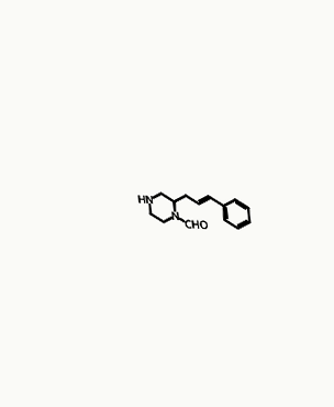 O=CN1CCNCC1CC=Cc1ccccc1